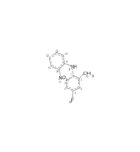 Cc1cc(F)ccc1Nc1ccccc1[N+](=O)[O-]